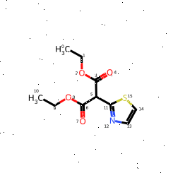 CCOC(=O)C(C(=O)OCC)c1nccs1